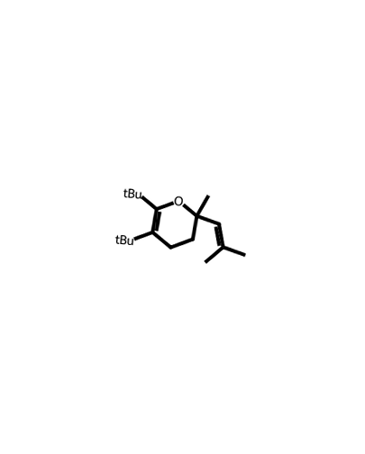 CC(C)=CC1(C)CCC(C(C)(C)C)=C(C(C)(C)C)O1